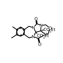 CCOC(=O)[C@]12N3COCN1C(=O)N1Cc4cc(C)c(C)cc4CN(C3=O)[C@]12C(=O)OCC